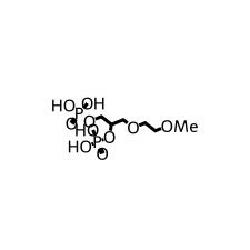 COCCOCC(COP(=O)(O)O)OP(=O)(O)O